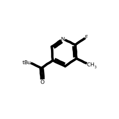 Cc1cc(C(=O)C(C)(C)C)cnc1F